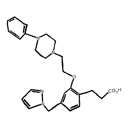 O=C(O)CCc1ccc(Cn2cccn2)cc1OCCN1CCN(c2ccccc2)CC1